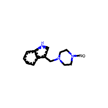 O=NN1CCN(Cc2c[nH]c3ccccc23)CC1